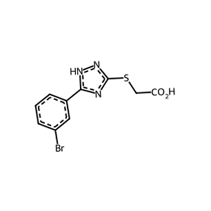 O=C(O)CSc1n[nH]c(-c2cccc(Br)c2)n1